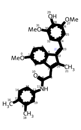 COc1ccc2c(c1)C(CC(=O)Nc1ccc(C)c(C)c1)=C(C)/C2=C/c1cc(OC)c(O)c(OC)c1